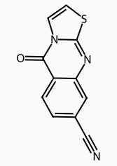 N#Cc1ccc2c(=O)n3ccsc3nc2c1